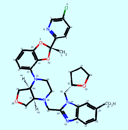 C[C@]1(c2ccc(Cl)cn2)Oc2cccc(N3CCN(Cc4nc5ccc(C(=O)O)cc5n4C[C@@H]4CCCO4)[C@H]4COC[C@H]43)c2O1